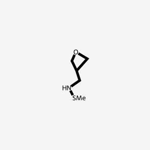 CSNCC1COC1